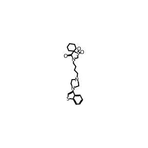 O=C1N(CCCCN2CCN(c3csc4ccccc34)CC2)CS(=O)(=O)C12CCCCC2